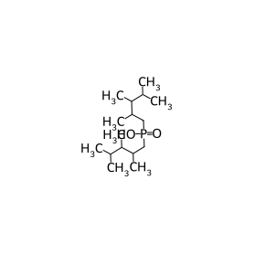 CC(C)C(C)C(C)CP(=O)(O)CC(C)C(C)C(C)C